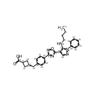 CCCCNc1c(-c2nc(-c3ccc(CN4CC(C(=O)O)C4)cc3)no2)cnn1-c1ccccc1